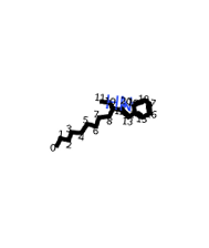 CCCCCCCCCC(CC)c1cc2ccccc2[nH]1